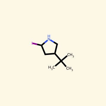 CC(C)(C)C1CNC(I)C1